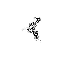 CC(=O)N1CC[C@H]2CC[C@@H](C(=O)N3Cc4cccc(Cl)c4C3)N2C(=O)[C@@H](NC(=O)c2cc3cc(C(C)(F)F)ccc3[nH]2)C1